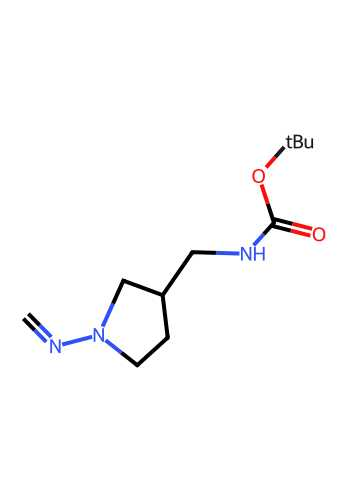 C=NN1CCC(CNC(=O)OC(C)(C)C)C1